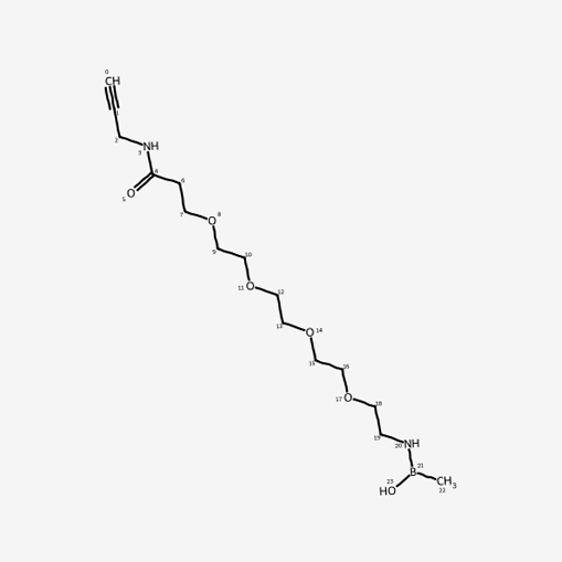 C#CCNC(=O)CCOCCOCCOCCOCCNB(C)O